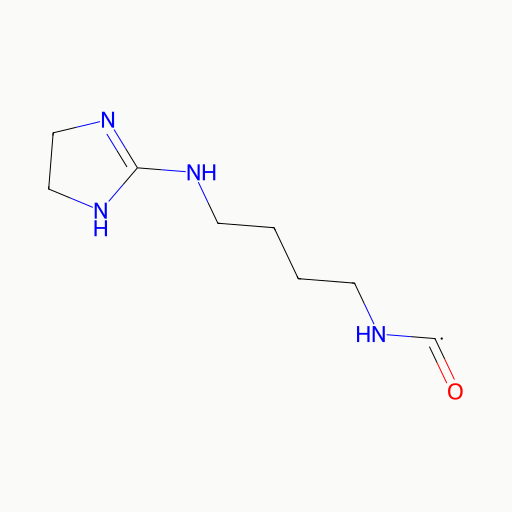 O=[C]NCCCCNC1=NCCN1